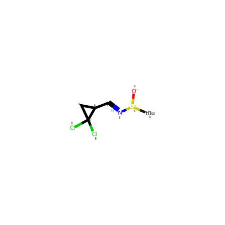 CC(C)(C)[S+]([O-])/N=C/C1CC1(Cl)Cl